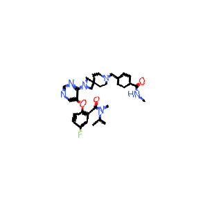 CNC(=O)C1CCC(CN2CCC3(CC2)CN(c2ncncc2Oc2ccc(F)cc2C(=O)N(C)C(C)C)C3)CC1